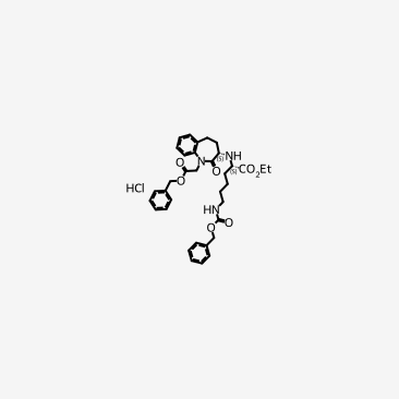 CCOC(=O)[C@H](CCCCNC(=O)OCc1ccccc1)N[C@H]1CCc2ccccc2N(CC(=O)OCc2ccccc2)C1=O.Cl